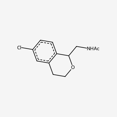 CC(=O)NCC1OCCc2cc(Cl)ccc21